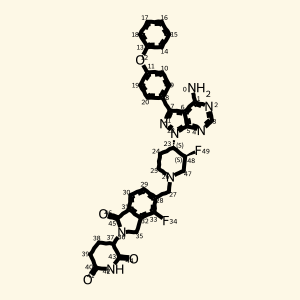 Nc1ncnc2c1c(-c1ccc(Oc3ccccc3)cc1)nn2[C@H]1CCN(Cc2ccc3c(c2F)CN(C2CCC(=O)NC2=O)C3=O)C[C@@H]1F